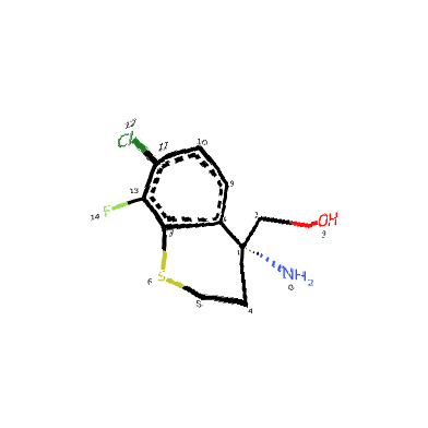 N[C@]1(CO)CCSc2c1ccc(Cl)c2F